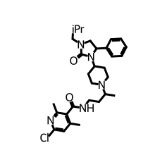 Cc1cc(Cl)nc(C)c1C(=O)NCCC(C)N1CCC(N2C(=O)N(CC(C)C)CC2c2ccccc2)CC1